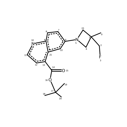 CC1(CF)CN(c2ccc3nccc(C(=O)OC(C)(C)C)c3c2)C1